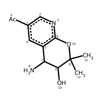 CC(=O)c1cnc2c(c1)C(N)C(O)C(C)(C)O2